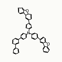 C1=CC2Oc3ccccc3C2C=C1c1ccc(N(c2ccc(-c3cccc(-c4ccccc4)c3)cc2)c2ccc(-c3ccc4oc5ccccc5c4c3)cc2)cc1